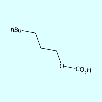 CCCCCCCOC(=O)O